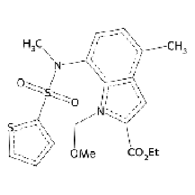 CCOC(=O)c1cc2c(C)ccc(N(C)S(=O)(=O)c3cccs3)c2n1COC